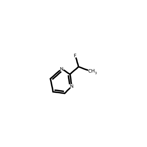 CC(F)c1ncccn1